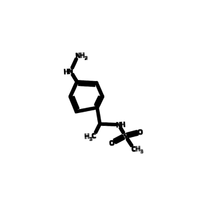 CC(NS(C)(=O)=O)c1ccc(NN)cc1